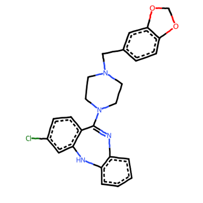 Clc1ccc2c(c1)Nc1ccccc1N=C2N1CCN(Cc2ccc3c(c2)OCO3)CC1